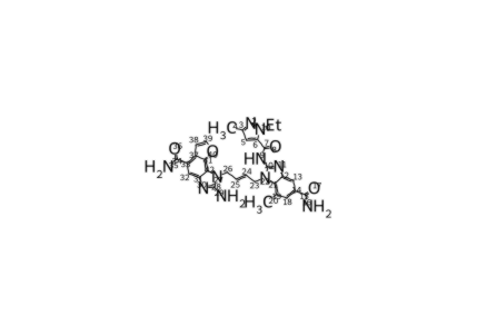 CCn1nc(C)cc1C(=O)Nc1nc2cc(C(N)=O)cc(C)c2n1C/C=C/Cn1c(N)nc2cc(C(N)=O)c3ccoc3c21